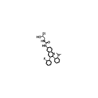 CCC(O)CNC(=O)Nc1ccc2nc(-c3ccccc3N(C)C)c(-c3ccccc3F)cc2c1